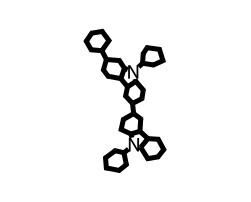 C1CCC(C2CCC3C4CC(C5CCC6C(C5)C5CCCCC5N6C5CCCCC5)CCC4N(C4CCCCC4)C3C2)CC1